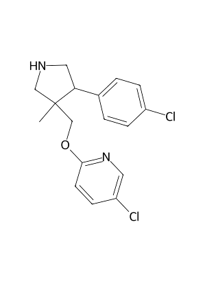 CC1(COc2ccc(Cl)cn2)CNCC1c1ccc(Cl)cc1